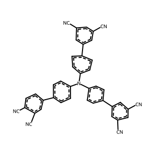 N#Cc1cc(C#N)cc(-c2ccc(N(c3ccc(-c4cc(C#N)cc(C#N)c4)cc3)c3ccc(-c4ccc(C#N)c(C#N)c4)cc3)cc2)c1